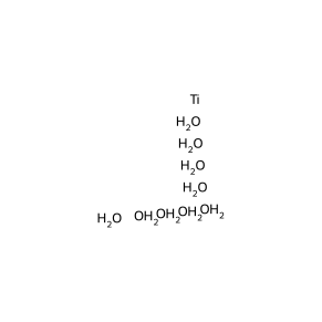 O.O.O.O.O.O.O.O.O.[Ti]